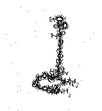 CCCCCNc1nc(N)nc2ccn(Cc3ccc(CN4CC5(C4)CN(C(=O)OCc4ccc(NC(=O)[C@H](CCCNC(N)=O)NC(=O)[C@@H](NC(=O)CCOCCOCCOCCOCCNC(=O)CCC(=O)N(Cc6ccccc6CC)c6ccccc6C)C(C)C)cc4)CCO5)cc3OC)c12